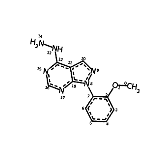 COc1ccccc1-n1ncc2c(NN)ncnc21